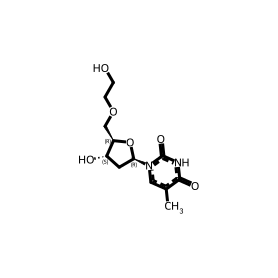 Cc1cn([C@H]2C[C@H](O)[C@@H](COCCO)O2)c(=O)[nH]c1=O